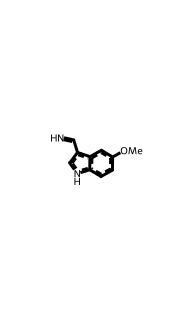 COc1ccc2[nH]cc(C=N)c2c1